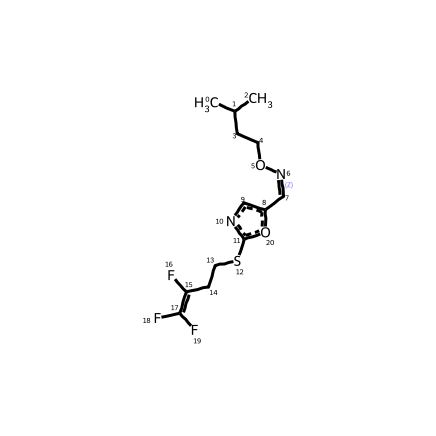 CC(C)CCO/N=C\c1cnc(SCCC(F)=C(F)F)o1